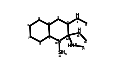 CNC1CC2CCCCC2N([SiH3])C1(NC)NC